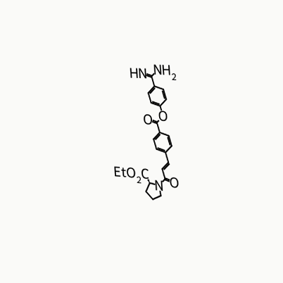 CCOC(=O)[C@@H]1CCCN1C(=O)/C=C/c1ccc(C(=O)Oc2ccc(C(=N)N)cc2)cc1